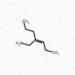 CCC=C(CN)CCC